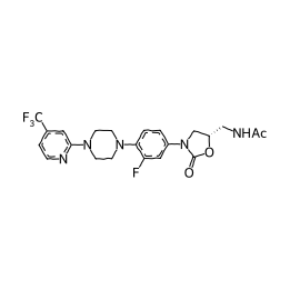 CC(=O)NC[C@H]1CN(c2ccc(N3CCN(c4cc(C(F)(F)F)ccn4)CC3)c(F)c2)C(=O)O1